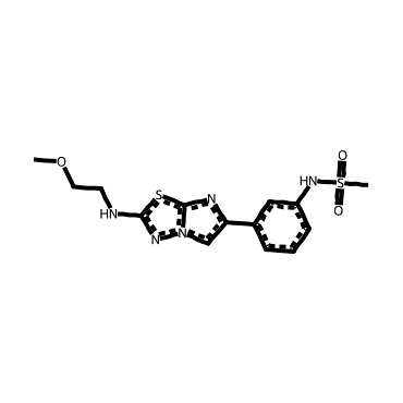 COCCNc1nn2cc(-c3cccc(NS(C)(=O)=O)c3)nc2s1